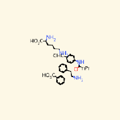 CCCC(=O)Nc1ccc(C=O)cc1.NCCCC[C@H](N)C(=O)O.NCCc1ccccc1.O=C(O)c1ccccc1